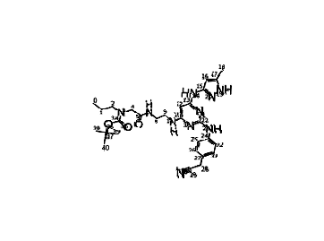 CCCN(CC(=O)NCCNc1cc(Nc2cc(C)[nH]n2)nc(Nc2ccc(CC#N)cc2)n1)C(=O)OC(C)(C)C